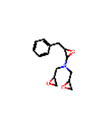 c1ccc(CC2OC2N(CC2CO2)CC2CO2)cc1